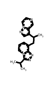 CC(C)c1nnc2c(CC(C)c3cnn4ccncc34)cccn12